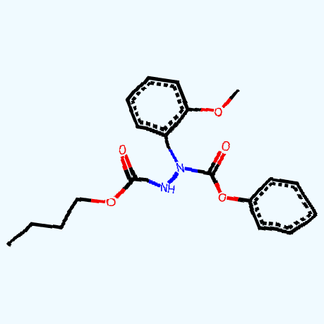 CCCCOC(=O)NN(C(=O)Oc1ccccc1)c1ccccc1OC